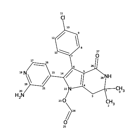 CC1(C)Cc2c(c(-c3ccc(Cl)cc3)c(-c3ccnc(N)c3)n2OC=O)C(=O)N1